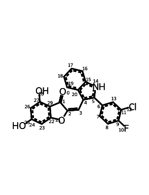 O=C1C(=Cc2c(-c3ccc(F)c(Cl)c3)[nH]c3ccccc23)Oc2cc(O)cc(O)c21